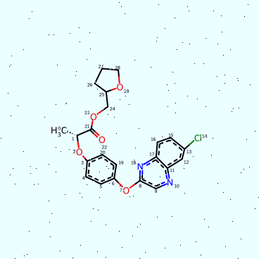 C[C@@H](Oc1ccc(Oc2cnc3cc(Cl)ccc3n2)cc1)C(=O)OCC1CCCO1